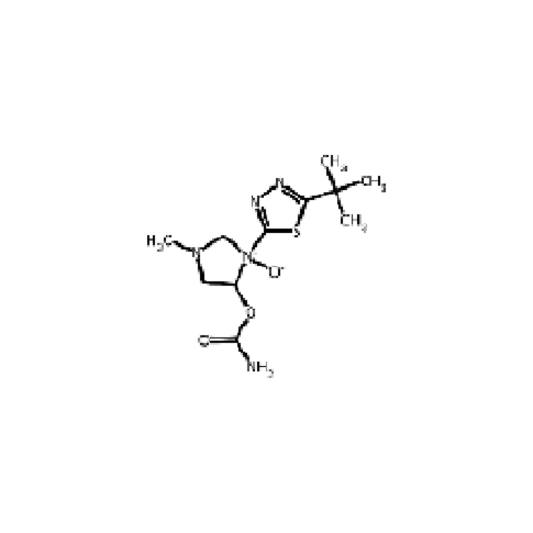 CN1CC(OC(N)=O)[N+]([O-])(c2nnc(C(C)(C)C)s2)C1